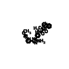 COC1CN(c2cccc(-c3cnc(N)c(-c4ccc(NC(=O)c5c(C)n(C)n(-c6ccccc6Cl)c5=O)cc4)n3)n2)C1